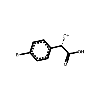 O=C(O)[C@@H](O)c1ccc(Br)cc1